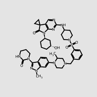 CC1CN(Cc2cccc(S(=O)(=O)N3CCC(Nc4ncc5c(n4)N([C@@H]4CCC[C@@H](O)C4)C(=O)C54CC4)CC3)c2)CCN1c1ccc2c(N3CCCNC3=O)nn(C)c2c1